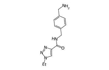 CCn1cc(C(=O)NCc2ccc(CN)cc2)nn1